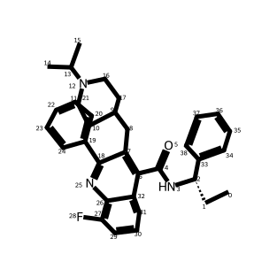 CC[C@H](NC(=O)c1c(CC2CCN(C(C)C)CC2)c(-c2ccccc2)nc2c(F)cccc12)c1ccccc1